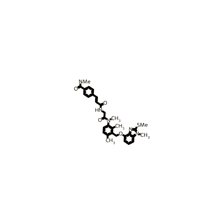 CNC(=O)c1ccc(C=CC(=O)NCC(=O)N(C)c2ccc(C)c(COc3cccc4c3nc(SC)n4C)c2C)cc1